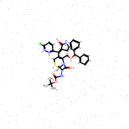 CC(C)(C)OC(=O)N[C@@H]1C(=O)N2C(C(=O)OC(c3ccccc3)c3ccccc3)=C(C(=C3CCNC3=O)c3ccc(Cl)nn3)CS[C@H]12